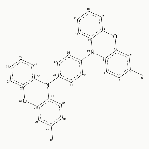 Cc1ccc2c(c1)Oc1ccccc1N2c1ccc(N2c3ccccc3Oc3cc(C)ccc32)cc1